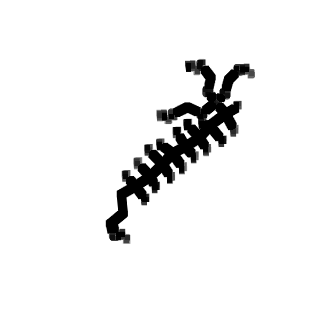 C=CCCC(F)(F)C(F)(F)C(F)(F)C(F)(F)C(F)(F)C(F)(F)C(F)(F)C(F)(F)[Si](OCC)(OCC)OCC